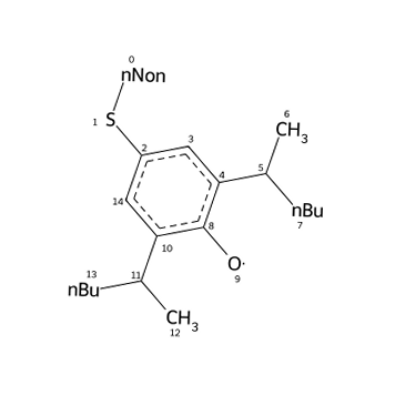 CCCCCCCCCSc1cc(C(C)CCCC)c([O])c(C(C)CCCC)c1